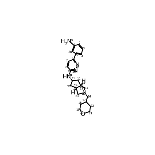 Nc1cccc(-c2ccc(NC3C[C@@H]4CN(CC5CCOCC5)C[C@@H]4C3)nn2)c1